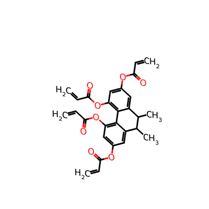 C=CC(=O)Oc1cc(OC(=O)C=C)c2c(c1)C(C)C(C)c1cc(OC(=O)C=C)cc(OC(=O)C=C)c1-2